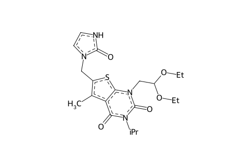 CCOC(Cn1c(=O)n(C(C)C)c(=O)c2c(C)c(Cn3cc[nH]c3=O)sc21)OCC